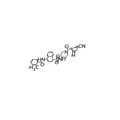 Cc1ccccc1C(=O)Nc1ccc(S(=O)(=O)NC2CCN(C(=O)[C@@H]3C[C@@H](C#N)CN3)CC2)c2ccccc12